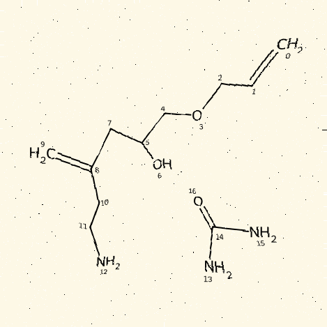 C=CCOCC(O)CC(=C)CCN.NC(N)=O